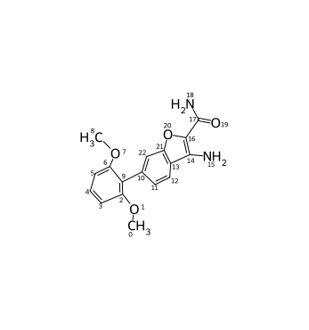 COc1cccc(OC)c1-c1ccc2c(N)c(C(N)=O)oc2c1